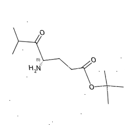 CC(C)C(=O)[C@@H](N)CCC(=O)OC(C)(C)C